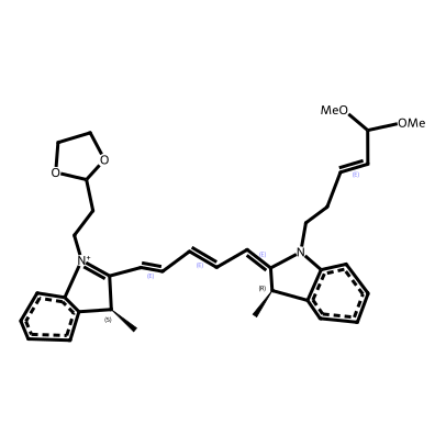 COC(/C=C/CCN1/C(=C/C=C/C=C/C2=[N+](CCC3OCCO3)c3ccccc3[C@@H]2C)[C@H](C)c2ccccc21)OC